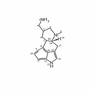 CN1CC(CN)CC2c3cccc4[nH]cc(c34)C[C@H]21